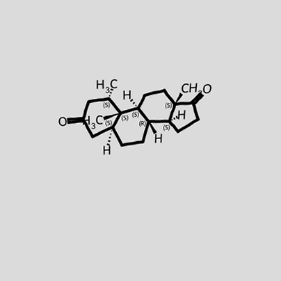 C[C@H]1CC(=O)C[C@@H]2CC[C@@H]3[C@H](CC[C@]4(C)C(=O)CC[C@@H]34)[C@]21C